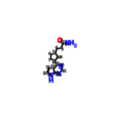 NC(=O)CCC1CCC(c2ncnc3[nH]ccc23)C1